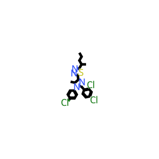 CCCC(C)c1nnc(C2N=C(c3ccc(Cl)cc3Cl)N(c3ccc(Cl)cc3)C2C)s1